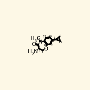 CN1C(=O)[C@@H](N)COc2cc(C3CC3)ccc21